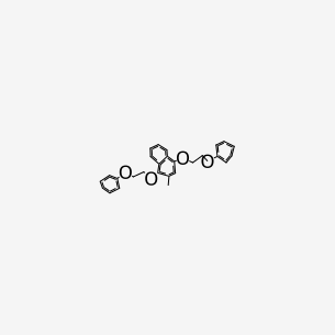 Cc1cc(OCCOc2ccccc2)c2ccccc2c1OCCOc1ccccc1